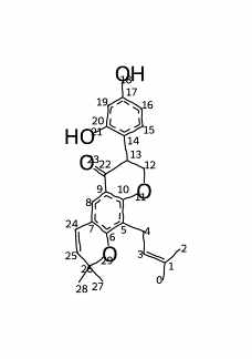 CC(C)=CCc1c2c(cc3c1OCC(c1ccc(O)cc1O)C3=O)C=CC(C)(C)O2